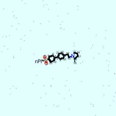 CCCS(=O)(=O)c1ccc(-c2ccc(CCN3CCC[C@H]3C)cc2)cc1